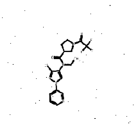 CCN(C(=O)C1CCN(C(=O)C(F)(F)F)C1)c1cn(-c2cccnc2)nc1Cl